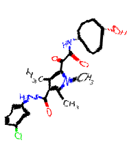 Cc1c(C(=O)Nc2cccc(Cl)c2)c(C)n(C)c1C(=O)C(=O)N[C@H]1CC[C@@H](O)CC1